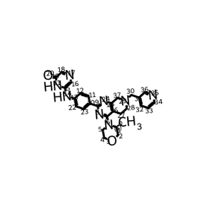 C[C@H]1COCCN1c1nc(-c2ccc(Nc3cncc(=O)[nH]3)cc2)nc2c1CCN(Cc1cccnc1)C2